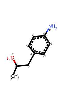 CC(O)Cc1ccc(N)cc1